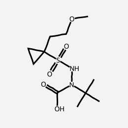 COCCC1(S(=O)(=O)NN(C(=O)O)C(C)(C)C)CC1